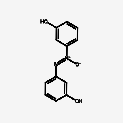 [O-][N+](=Nc1cccc(O)c1)c1cccc(O)c1